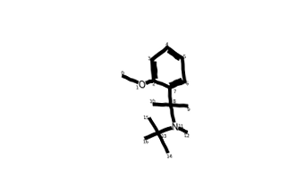 COc1ccccc1C(C)(C)N(C)C(C)(C)C